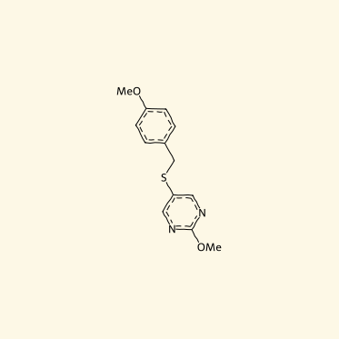 COc1ccc(CSc2cnc(OC)nc2)cc1